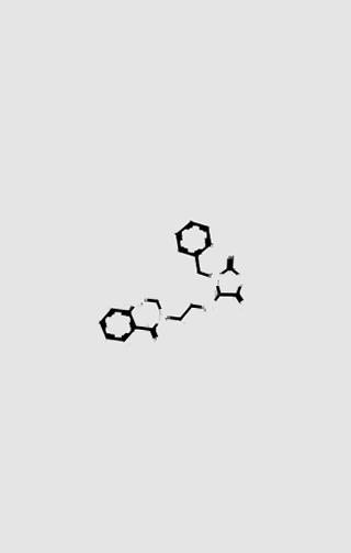 O=C1SC(=O)N(Cc2ccccc2)C1OCCN1COc2ccccc2C1=O